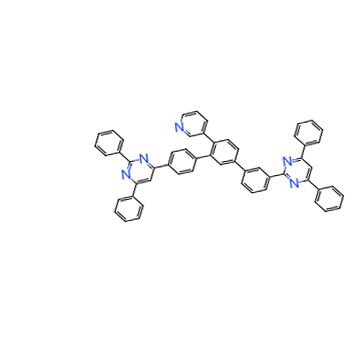 c1ccc(-c2cc(-c3ccc(-c4cc(-c5cccc(-c6nc(-c7ccccc7)cc(-c7ccccc7)n6)c5)ccc4-c4cccnc4)cc3)nc(-c3ccccc3)n2)cc1